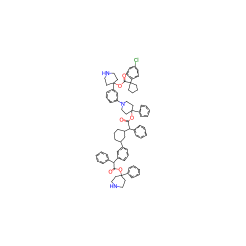 O=C(OC1(c2ccccc2)CCNCC1)C(c1ccccc1)c1cccc(C2CCCC(C(C(=O)OC3(c4ccccc4)CCN(c4cccc(C5(OC(=O)C6(c7ccc(Cl)cc7)CCCC6)CCNCC5)c4)CC3)c3ccccc3)C2)c1